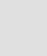 OCC1CCCC(CO)O1